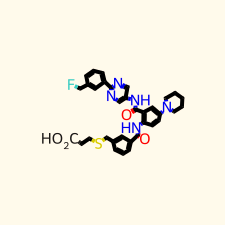 O=C(O)CCSCc1cccc(C(=O)Nc2ccc(N3CCCCC3)cc2C(=O)Nc2cnc(-c3cccc(CF)c3)nc2)c1